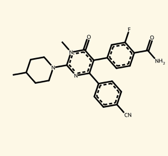 CC1CCN(c2nc(-c3ccc(C#N)cc3)c(-c3ccc(C(N)=O)c(F)c3)c(=O)n2C)CC1